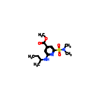 CCC(C)Nc1cc(C(=O)OC)cc(S(=O)(=O)N(C)C)n1